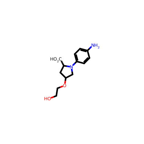 Nc1ccc(N2CC(OCCO)CC2C(=O)O)cc1